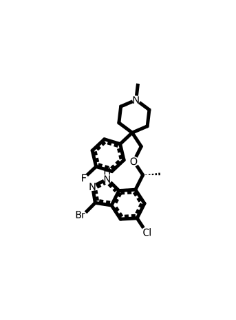 C[C@@H](OCC1(c2ccc(F)cc2)CCN(C)CC1)c1cc(Cl)cc2c(Br)n[nH]c12